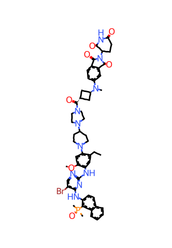 CCc1cc(Nc2ncc(Br)c(Nc3ccc4ccccc4c3P(C)(C)=O)n2)c(OC)cc1N1CCC(N2CCN(C(=O)[C@H]3C[C@H](N(C)c4ccc5c(c4)C(=O)N(C4CCC(=O)NC4=O)C5=O)C3)CC2)CC1